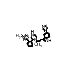 CC(CCc1c[nH]c2ccc(-n3cnnc3)cc12)N1CCNCC1c1ccccc1-c1nnn(C)n1